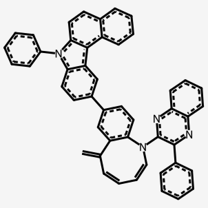 C=C1/C=C\C=C/N(c2nc3ccccc3nc2-c2ccccc2)c2ccc(-c3ccc4c(c3)c3c5ccccc5ccc3n4-c3ccccc3)cc21